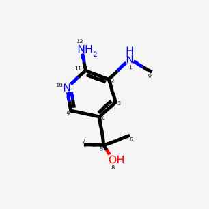 CNc1cc(C(C)(C)O)cnc1N